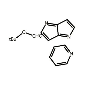 C1=CC2=NC=CC2=N1.CC(C)(C)OC=O.c1ccncc1